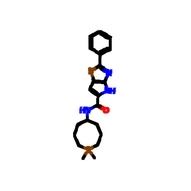 CS1(C)CCCC(NC(=O)c2cc3sc(-c4ccccc4)nc3[nH]2)CCC1